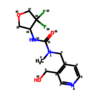 CN(Cc1ccncc1CO)C(=O)NC1COCC1(F)F